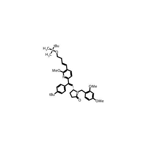 COc1ccc(CN2C(=O)CC[C@@H]2/C=C(\c2ccc(C(C)(C)C)cc2)c2ccc(/C=C/CCO[Si](C)(C)C(C)(C)C)c(OC)n2)c(OC)c1